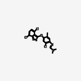 Cc1cc(N=CN(C)C)c(Cl)cc1Oc1snc2c(Cl)ccc(Cl)c12